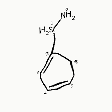 N[SiH2]C1=CC=CC1